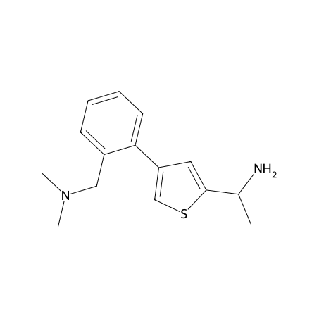 CC(N)c1cc(-c2ccccc2CN(C)C)cs1